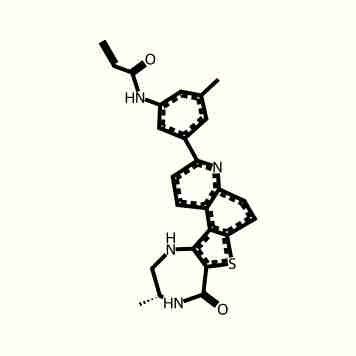 C=CC(=O)Nc1cc(C)cc(-c2ccc3c(ccc4sc5c(c43)NC[C@@H](C)NC5=O)n2)c1